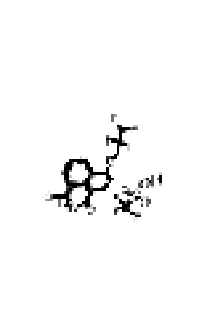 O=C1NC(=O)c2ccc(OCC(F)(F)C(F)F)c3cccc1c23.O=S(=O)(O)C(F)(F)F